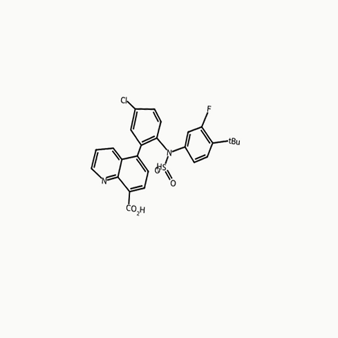 CC(C)(C)c1ccc(N(c2ccc(Cl)cc2-c2ccc(C(=O)O)c3ncccc23)[SH](=O)=O)cc1F